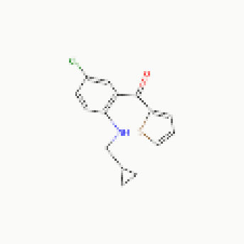 O=C(c1cccs1)c1cc(Cl)ccc1NCC1CC1